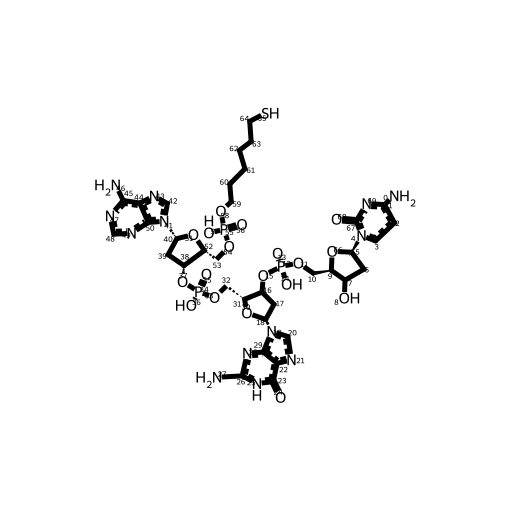 Nc1ccn([C@H]2CC(O)[C@@H](COP(=O)(O)OC3C[C@H](n4cnc5c(=O)[nH]c(N)nc54)O[C@@H]3COP(=O)(O)O[C@@H]3C[C@H](n4cnc5c(N)ncnc54)O[C@@H]3COP(=O)(O)OCCCCCCS)O2)c(=O)n1